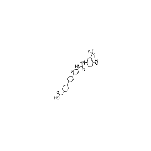 O=C(O)CC1CCC(c2ccc(-c3ccc(NC(=O)Nc4ccc(Cl)c(C(F)(F)F)c4)cn3)cc2)CC1